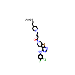 CC(=O)NCCC1CCN(C/C=C/C(=O)N2CCc3c(sc4ncnc(Nc5ccc(F)c(Cl)c5)c34)C2)CC1